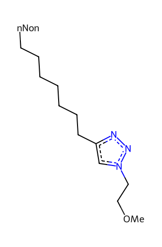 CCCCCCCCCCCCCCCCc1cn(CCOC)nn1